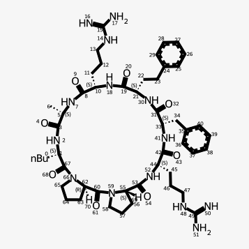 CCCC[C@@H]1NC(=O)[C@H](C)NC(=O)[C@H](CCCNC(=N)N)NC(=O)[C@H](CCc2ccccc2)NC(=O)[C@H](Cc2ccccc2)NC(=O)[C@H](CCCNC(=N)N)NC(=O)[C@@H]2CCCN2C(=O)[C@H]2CCCN2C1=O